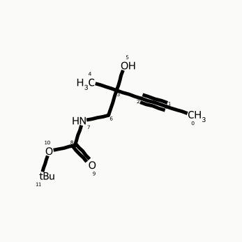 CC#CC(C)(O)CNC(=O)OC(C)(C)C